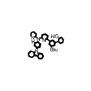 CC(C)(C)c1cc(-c2cccc(N(c3ccc(-n4c5c(c6ccccc64)CCC=C5)cc3)C3C=CC=CN3)n2)cc(-c2ccccc2O)c1